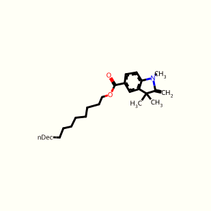 C=C1N(C)c2ccc(C(=O)OCCCCCCCCCCCCCCCCCC)cc2C1(C)C